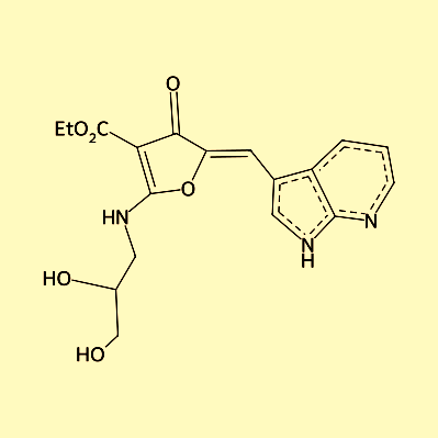 CCOC(=O)C1=C(NCC(O)CO)OC(=Cc2c[nH]c3ncccc23)C1=O